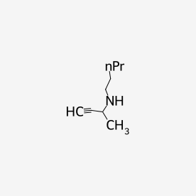 C#CC(C)NCCCCC